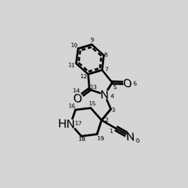 N#CC1(CN2C(=O)c3ccccc3C2=O)CCNCC1